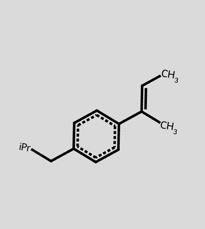 CC=C(C)c1ccc(CC(C)C)cc1